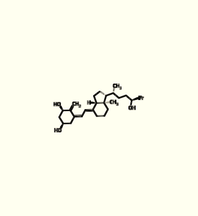 C=C1/C(=C\C=C2/CCC[C@]3(C)[C@@H]([C@H](C)CC[C@H](O)C(C)C)CC[C@@H]23)C[C@@H](O)C[C@H]1O